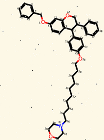 c1ccc(COc2ccc3c(c2)OCC(c2ccccc2)C3c2ccc(OCCCCCCCCCCN3CCOCC3)cc2)cc1